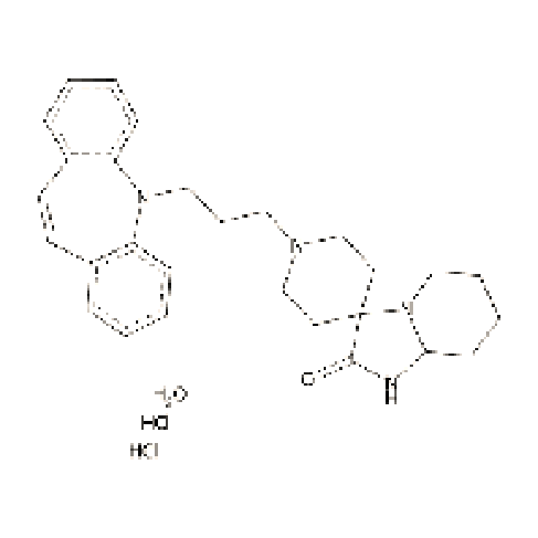 Cl.Cl.O.O=C1NC2CCCCN2C12CCN(CCCN1c3ccccc3C=Cc3ccccc31)CC2